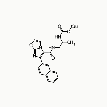 CC(CNC(=O)c1c(-c2ccc3ccccc3c2)nc2occn12)NC(=O)OC(C)(C)C